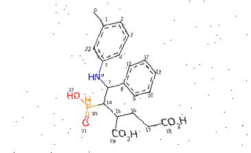 Cc1cccc(NC(c2ccccc2)C(C(CCC(=O)O)C(=O)O)[PH](=O)O)c1